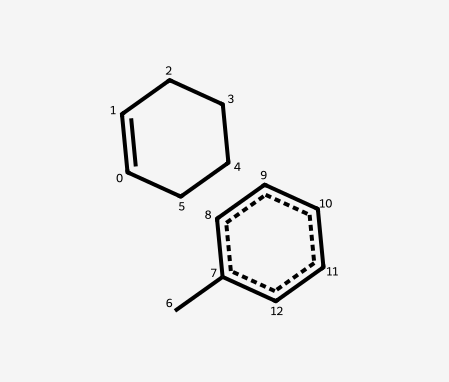 C1=CCCCC1.Cc1ccccc1